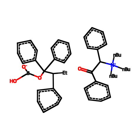 CCC(c1ccccc1)C(OB([O-])O)(c1ccccc1)c1ccccc1.CCCC[N+](CCCC)(CCCC)C(C(=O)c1ccccc1)c1ccccc1